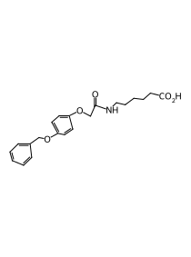 O=C(O)CCCCCNC(=O)COc1ccc(OCc2ccccc2)cc1